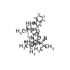 CC(C)C[C@H](NC(=O)c1cc2ccccc2[nH]1)C(=O)N1C[C@H]2[C@@H](C1C(=O)N[C@H](C#N)C(C)C)C2(C)C